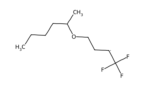 CCCCC(C)OCC[CH]C(F)(F)F